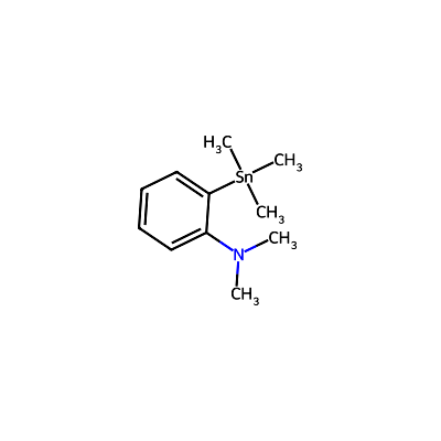 CN(C)c1cccc[c]1[Sn]([CH3])([CH3])[CH3]